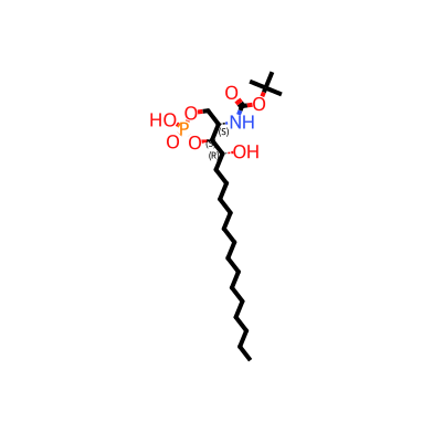 CCCCCCCCCCCCCC[C@@H](O)[C@H]1OP(=O)(O)OC[C@@H]1NC(=O)OC(C)(C)C